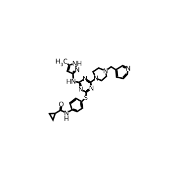 Cc1cc(Nc2nc(Sc3ccc(NC(=O)C4CC4)cc3)nc(N3CCN(Cc4cccnc4)CC3)n2)n[nH]1